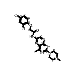 Cc1nc(N2CCN(C)CC2)nc2ncc(NC(=O)COc3ccc(Cl)cc3Cl)nc12